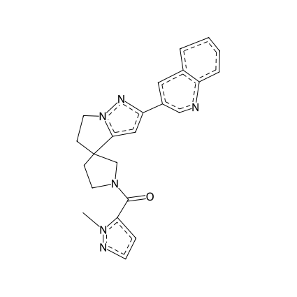 Cn1nccc1C(=O)N1CCC2(CCn3nc(-c4cnc5ccccc5c4)cc32)C1